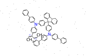 C/C=C\C(=C/C)c1ccc(N(c2ccc(-c3ccccc3)cc2)c2ccc(C3(c4ccc(N(c5ccc(-c6ccccc6)cc5)c5ccc(-c6ccccc6)cc5)cc4)C4=CC=CCC4c4ccccc43)cc2)cc1